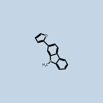 Cn1c2ccccc2c2ccc(-c3ccco3)cc21